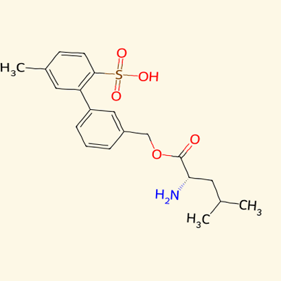 Cc1ccc(S(=O)(=O)O)c(-c2cccc(COC(=O)[C@@H](N)CC(C)C)c2)c1